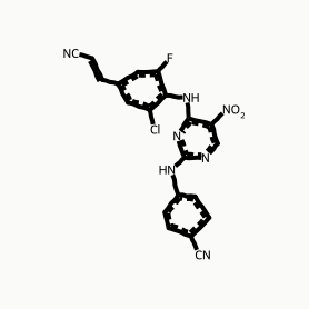 N#CC=Cc1cc(F)c(Nc2nc(Nc3ccc(C#N)cc3)ncc2[N+](=O)[O-])c(Cl)c1